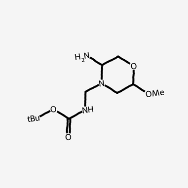 COC1CN(CNC(=O)OC(C)(C)C)C(N)CO1